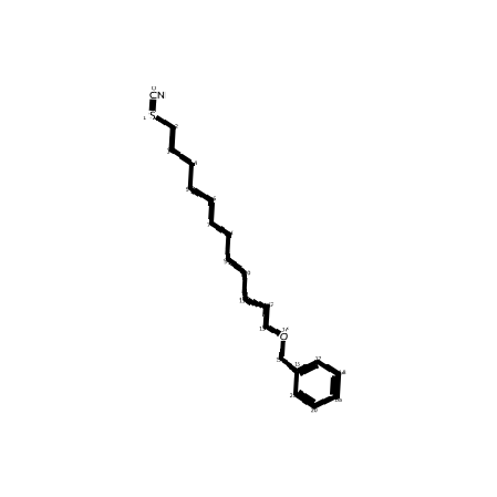 N#CSCCCCCCCCCCCCOCc1ccccc1